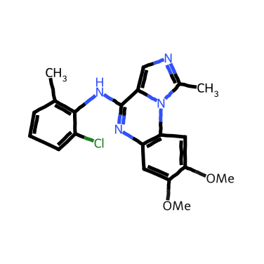 COc1cc2nc(Nc3c(C)cccc3Cl)c3cnc(C)n3c2cc1OC